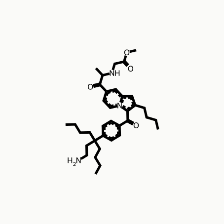 CCCCc1cc2cc(C(=O)C(C)NCC(=O)OC)ccn2c1C(=O)c1ccc(C(CCN)(CCCC)CCCC)cc1